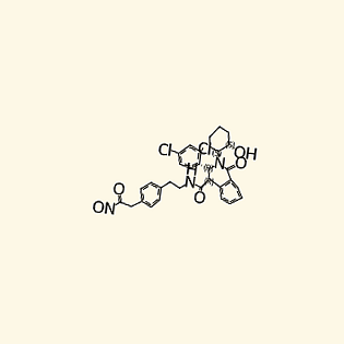 O=NC(=O)Cc1ccc(CCNC(=O)[C@@H]2c3ccccc3C(=O)N([C@H]3CCCC[C@@H]3O)[C@H]2c2ccc(Cl)cc2Cl)cc1